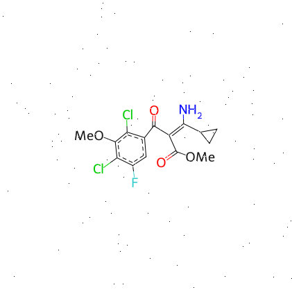 COC(=O)C(C(=O)c1cc(F)c(Cl)c(OC)c1Cl)=C(N)C1CC1